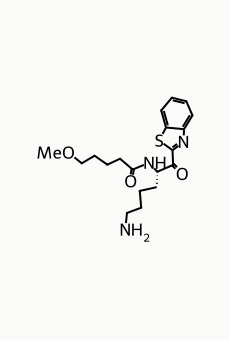 COCCCCC(=O)N[C@@H](CCCCN)C(=O)c1nc2ccccc2s1